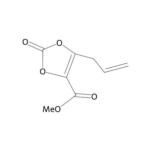 C=CCc1oc(=O)oc1C(=O)OC